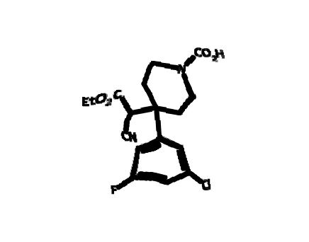 CCOC(=O)C(C#N)C1(c2cc(F)cc(Cl)c2)CCN(C(=O)O)CC1